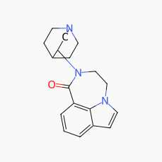 O=C1c2cccc3ccn(c23)CCN1C1CN2CCC1CC2